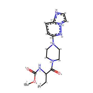 CC(C)CC(NC(=O)OC(C)(C)C)C(=O)N1CCN(c2ccc3nccn3n2)CC1